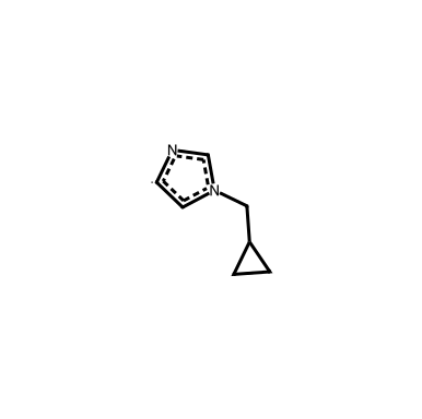 [c]1cn(CC2CC2)cn1